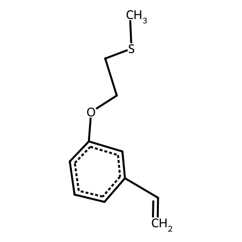 C=Cc1cccc(OCCSC)c1